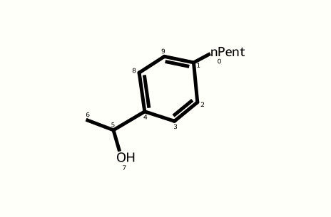 CCCCCc1ccc(C(C)O)cc1